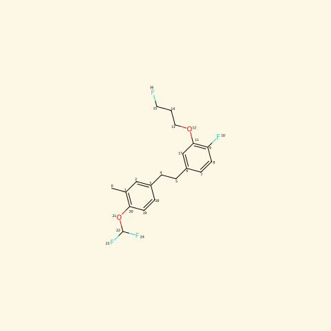 Cc1cc(CCc2ccc(F)c(OCCCF)c2)ccc1OC(F)F